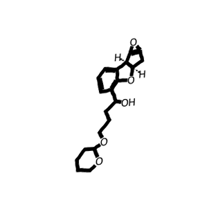 OC(CCCOC1CCCCO1)c1cccc2c1O[C@@H]1CC3=C(O3)[C@H]21